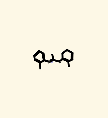 CC1=C(S/C(C)=N/c2ccccc2C)CCC=C1